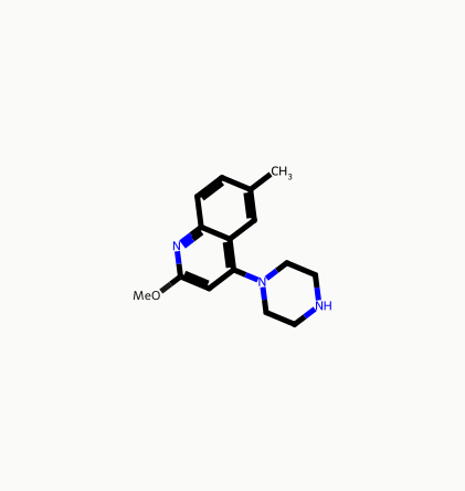 COc1cc(N2CCNCC2)c2cc(C)ccc2n1